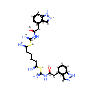 N=C(CCCCC(=N)SC(=N)NC(=O)Cc1cccc2[nH]ncc12)SC(=N)NC(=O)Cc1cccc2[nH]ncc12